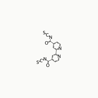 O=C(N=C=S)c1ccnc(-c2cc(C(=O)N=C=S)ccn2)c1